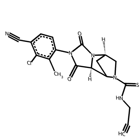 C#CCNC(=S)N1C[C@H]2CC1[C@H]1C(=O)N(c3ccc(C#N)c(Cl)c3C)C(=O)N21